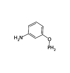 Nc1cccc(OP)c1